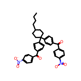 CCCCC1CCC(c2ccc(C(=O)c3ccc([N+](=O)[O-])cc3)cc2)(c2ccc(C(=O)c3ccc([N+](=O)[O-])cc3)cc2)CC1